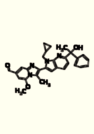 COc1cc(C=O)cc2nc(-c3cc4ccc(C(C)(O)c5ccccc5)nc4n3CC3CC3)c(C)n12